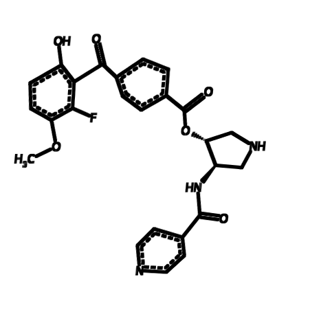 COc1ccc(O)c(C(=O)c2ccc(C(=O)O[C@@H]3CNC[C@H]3NC(=O)c3ccncc3)cc2)c1F